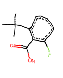 CC(C)(C)c1cccc(F)c1C(=O)O